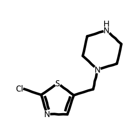 Clc1ncc(CN2CCNCC2)s1